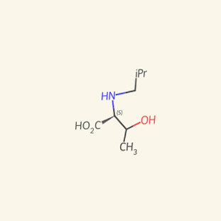 CC(C)CN[C@H](C(=O)O)C(C)O